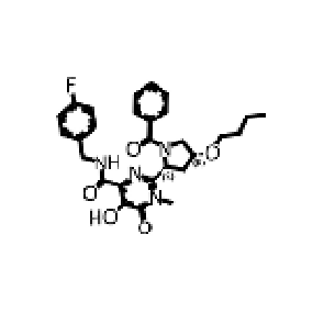 CCCCO[C@@H]1C[C@@H](c2nc(C(=O)NCc3ccc(F)cc3)c(O)c(=O)n2C)N(C(=O)c2ccccc2)C1